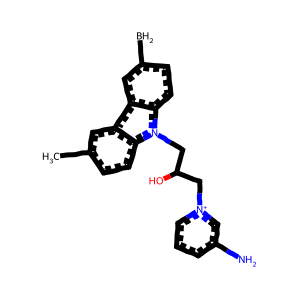 Bc1ccc2c(c1)c1cc(C)ccc1n2CC(O)C[n+]1cccc(N)c1